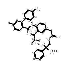 CCOC(=O)C(COC(=O)Cc1ccc(NC(=O)c2ccc(C)cc2-c2ccc(C(F)(F)F)cc2)c(C(=O)N(C)C)c1)(C(=O)OCC)c1ccccc1